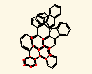 c1ccc(-c2ccccc2-c2ccccc2-c2ccccc2N(c2ccc(-c3cccc4c3ccc3ccccc34)cc2)c2ccccc2-c2ccc3c(c2)c2ccccc2n3-c2ccccc2)cc1